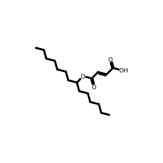 CCCCCCCC(CCCCCC)OC(=O)C=CC(=O)O